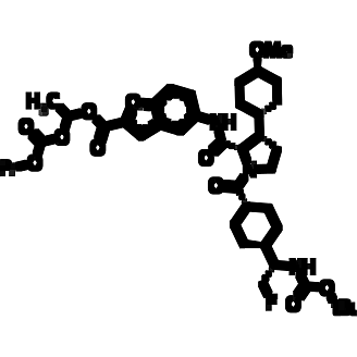 CO[C@H]1CC[C@H]([C@@H]2CCN(C(=O)[C@H]3CC[C@H]([C@@H](CF)NC(=O)OC(C)(C)C)CC3)[C@@H]2C(=O)Nc2ccc3oc(C(=O)OC(C)OC(=O)OC(C)C)cc3c2)CC1